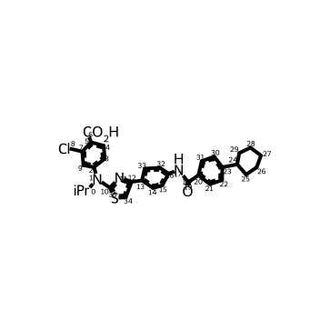 CC(C)N(c1ccc(C(=O)O)c(Cl)c1)c1nc(-c2ccc(NC(=O)c3ccc(C4CCCCC4)cc3)cc2)cs1